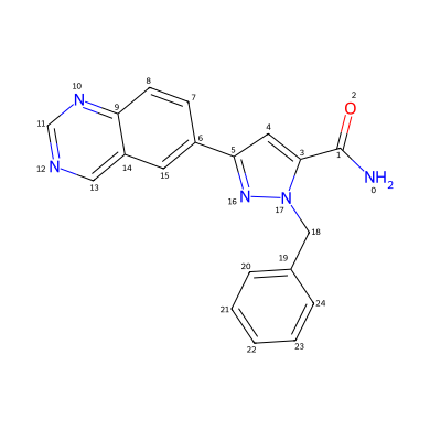 NC(=O)c1cc(-c2ccc3ncncc3c2)nn1Cc1ccccc1